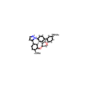 COc1ccc(-c2ccnn2-c2ccc(-c3cccc(NC(C)=O)c3)cc2)cc1OC1CCOC1